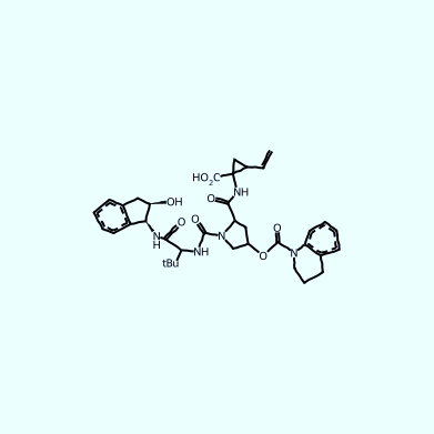 C=CC1CC1(NC(=O)C1CC(OC(=O)N2CCCc3ccccc32)CN1C(=O)NC(C(=O)N[C@H]1c2ccccc2C[C@H]1O)C(C)(C)C)C(=O)O